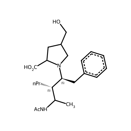 CCC[C@@H](C(C)NC(C)=O)[C@H](Cc1ccccc1)N1CC(CO)CC1C(=O)O